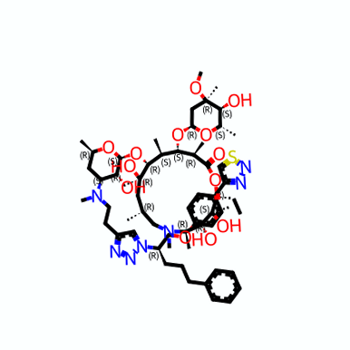 CC[C@H]1OC(=O)[C@H](C)[C@@H](O[C@H]2C[C@@](C)(OC)[C@@H](O)[C@H](C)O2)[C@H](C)[C@@H](O[C@@H]2O[C@H](C)C[C@H](N(C)CCc3cn([C@H](CCCc4ccccc4)COc4ccc(-c5csnn5)cc4)nn3)[C@H]2O)[C@](C)(O)C[C@@H](C)CN(C)[C@H](C)[C@@H](O)[C@]1(C)O